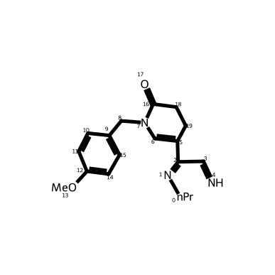 CCC/N=C(\C=N)C1=CN(Cc2ccc(OC)cc2)C(=O)CC1